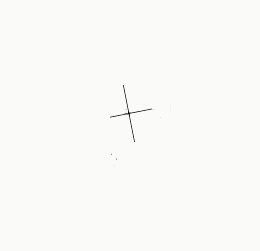 CC(C)([O-])O.[Na+]